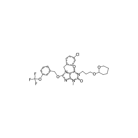 Cn1c(=O)n(CCCOC2CCCCO2)c(=O)c2c1nc(OCc1cccc(OC(F)(F)F)c1)n2Cc1ccc(Cl)cc1